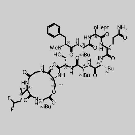 CCCCCCC[C@H](NC(=O)[C@@H](NC(=O)[C@@H](Cc1ccccc1)NC)[C@@H](C)CC)C(=O)N[C@H](CCC(N)=O)C(=O)N[C@@H](C(=O)N[C@H](C(=O)N[C@@H](CO)C(=O)N[C@H]1C(=O)NCC(=O)N[C@@]2(C[C@H]2CC(F)F)C(=O)N[C@@H]([C@@H](C)CC)C(=O)O[C@H]1C)[C@@H](C)CC)[C@@H](C)CC